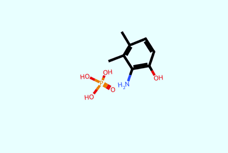 Cc1ccc(O)c(N)c1C.O=P(O)(O)O